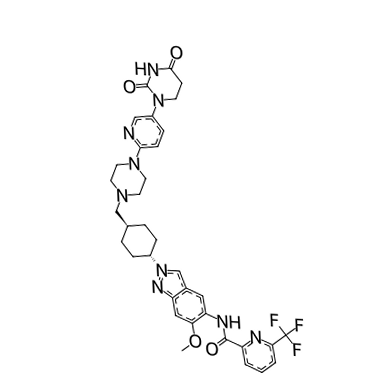 COc1cc2nn([C@H]3CC[C@H](CN4CCN(c5ccc(N6CCC(=O)NC6=O)cn5)CC4)CC3)cc2cc1NC(=O)c1cccc(C(F)(F)F)n1